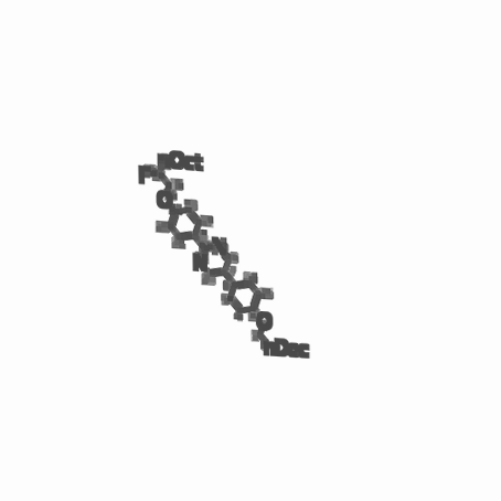 CCCCCCCCCCCOc1ccc(-c2cnc(-c3ccc(OCC(F)CCCCCCCC)cc3)nc2)cc1